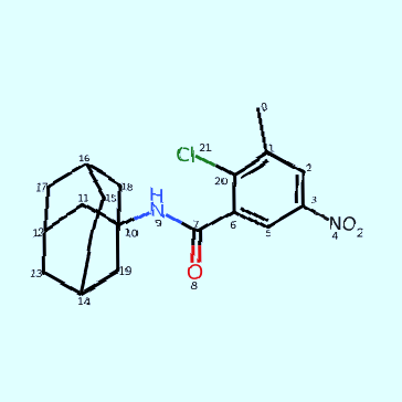 Cc1cc([N+](=O)[O-])cc(C(=O)NC23CC4CC(CC(C4)C2)C3)c1Cl